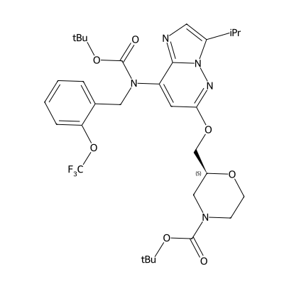 CC(C)c1cnc2c(N(Cc3ccccc3OC(F)(F)F)C(=O)OC(C)(C)C)cc(OC[C@@H]3CN(C(=O)OC(C)(C)C)CCO3)nn12